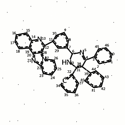 c1ccc(C2=NC(c3cccc(-c4nc5ccccc5c5nc6ccccn6c45)c3)NC(c3ccccc3)=C2c2ccccc2)cc1